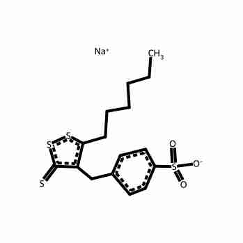 CCCCCCc1ssc(=S)c1Cc1ccc(S(=O)(=O)[O-])cc1.[Na+]